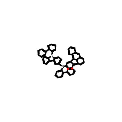 CC12C=CC=C3C=c4ccccc4=C(C4=CC(N(c5ccc6c(c5)c5ccccc5n6-c5ccccc5-c5ccccc5)c5ccccc5-c5ccccc5)=CCC41)C32